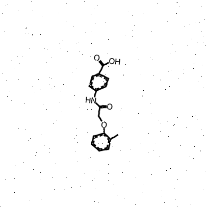 Cc1ccccc1OCC(=O)Nc1ccc(C(=O)O)cc1